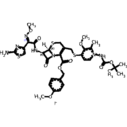 CO/N=C(\C(=O)N[C@@H]1C(=O)N2C(C(=O)OCc3ccc(OC)cc3)=C(CSc3cc[n+](NC(=O)OC(C)(C)C)c(C)c3OC)CS[C@H]12)c1csc(N)n1.[I-]